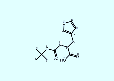 CC(C)(C)OC(=O)NC(Cc1ccoc1)C(=O)O